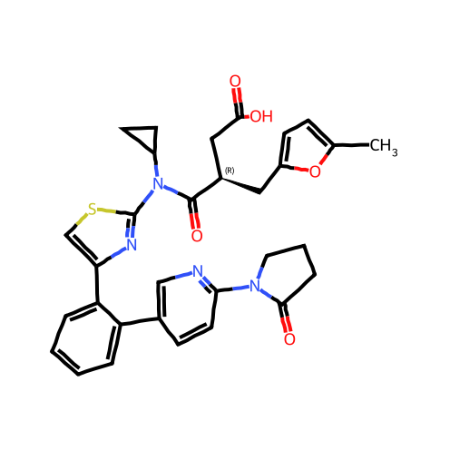 Cc1ccc(C[C@H](CC(=O)O)C(=O)N(c2nc(-c3ccccc3-c3ccc(N4CCCC4=O)nc3)cs2)C2CC2)o1